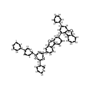 c1ccc(-c2ccc(-c3nc(-c4ccccc4)nc(-c4ccc5c(c4)oc4cc(-c6cc(-c7ccccc7)cc7oc8ccccc8c67)ccc45)n3)cc2)cc1